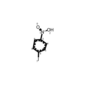 O=[N+](O)c1ccc(I)cc1